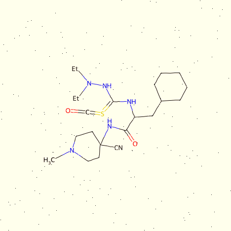 CCN(CC)NC(NC(CC1CCCCC1)C(=O)NC1(C#N)CCN(C)CC1)=S=C=O